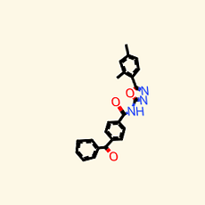 Cc1ccc(-c2nnc(NC(=O)c3ccc(C(=O)c4ccccc4)cc3)o2)c(C)c1